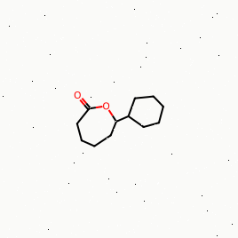 O=C1CCCCC(C2CCCCC2)O1